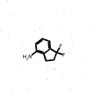 Nc1cccc2c1CCC2(F)F